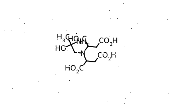 CC(N)(O)CN(C(CC(=O)O)C(=O)O)C(CC(=O)O)C(=O)O